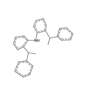 CC(c1ccccc1)c1ccccc1Nc1ccccc1C(C)c1ccccc1